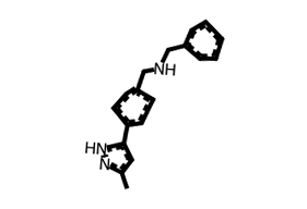 Cc1cc(-c2ccc(CNCc3ccccc3)cc2)[nH]n1